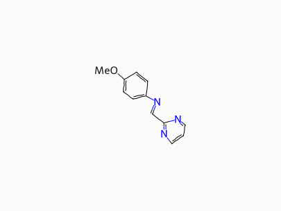 COc1ccc(N=Cc2ncccn2)cc1